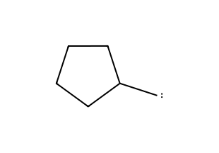 [CH]C1CCCC1